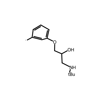 [CH2]c1cccc(OCC(O)CNC(C)(C)C)c1